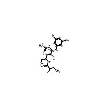 CCC(C)C(=O)NC(CO)C[C@H](O)[C@H](Cc1cc(F)cc(F)c1)NC(C)=O